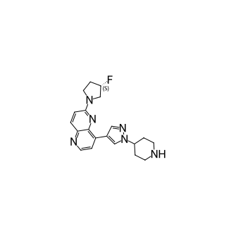 F[C@H]1CCN(c2ccc3nccc(-c4cnn(C5CCNCC5)c4)c3n2)C1